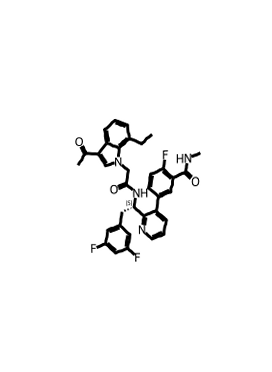 CCc1cccc2c(C(C)=O)cn(CC(=O)N[C@@H](Cc3cc(F)cc(F)c3)c3ncccc3-c3ccc(F)c(C(=O)NC)c3)c12